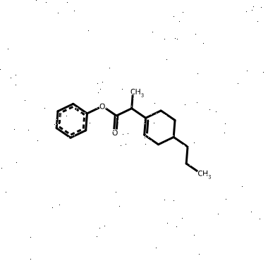 CCCC1CC=C(C(C)C(=O)Oc2ccccc2)CC1